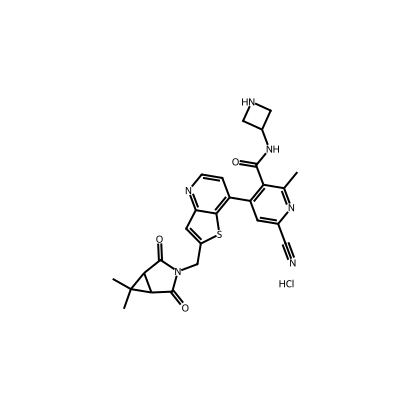 Cc1nc(C#N)cc(-c2ccnc3cc(CN4C(=O)C5C(C4=O)C5(C)C)sc23)c1C(=O)NC1CNC1.Cl